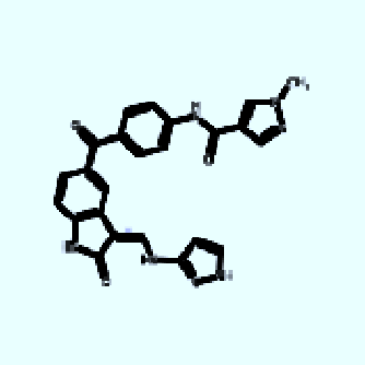 Cn1cc(C(=O)Nc2ccc(C(=O)c3ccc4c(c3)/C(=C/Nc3cc[nH]n3)C(=O)N4)cc2)cn1